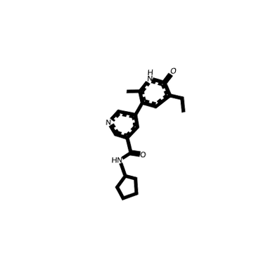 CCc1cc(-c2cncc(C(=O)NC3CCCC3)c2)c(C)[nH]c1=O